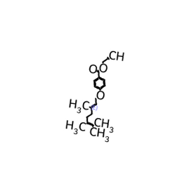 C#CCOC(=O)c1ccc(OC/C=C(\C)CCC(C)=C(C)C)cc1